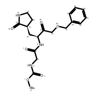 CC(C)(C)OC(=O)NCC(=O)N[C@@H](C[C@@H]1CCNC1=O)C(=O)COCc1ccccc1